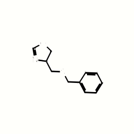 [C]1=NC(CSCc2ccccc2)CO1